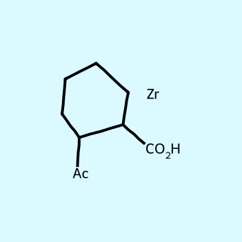 CC(=O)C1CCCCC1C(=O)O.[Zr]